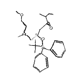 COCCN(C)C[C@H](CC(=O)C(C)C)O[Si](c1ccccc1)(c1ccccc1)C(C)(C)C